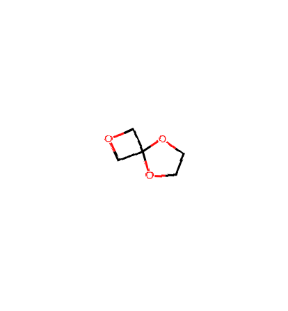 C1COC2(COC2)O1